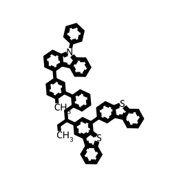 CCC(Cc1ccccc1-c1cc(-c2cccc3c2c2ccccc2n3-c2ccccc2)ccc1C)c1cc(-c2ccc3sc4ccccc4c3c2)c2sc3ccccc3c2c1